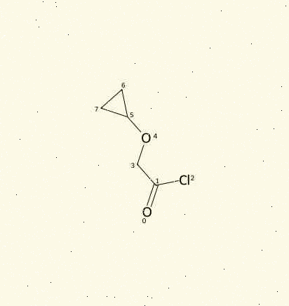 O=C(Cl)COC1CC1